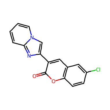 O=c1oc2ccc(Cl)cc2cc1-c1cn2ccccc2n1